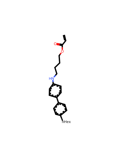 C=CC(=O)OCCCCNc1ccc(-c2ccc(CCCCCC)cc2)cc1